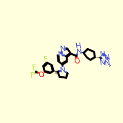 Cn1nnc([C@H]2CC[C@H](NC(=O)c3cnn4ccc(N5CCC[C@@H]5c5cc(F)cc(OC(F)F)c5)cc34)CC2)n1